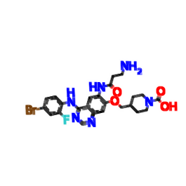 NCCC(=O)Nc1cc2c(Nc3ccc(Br)cc3F)ncnc2cc1OCC1CCN(C(=O)O)CC1